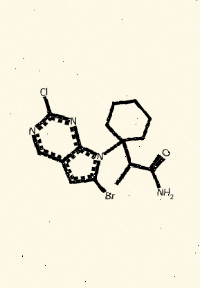 CC(C(N)=O)C1(n2c(Br)cc3cnc(Cl)nc32)CCCCC1